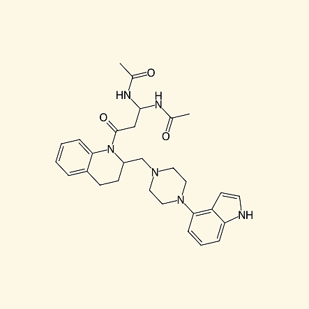 CC(=O)NC(CC(=O)N1c2ccccc2CCC1CN1CCN(c2cccc3[nH]ccc23)CC1)NC(C)=O